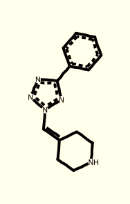 C(=C1CCNCC1)n1nnc(-c2ccccc2)n1